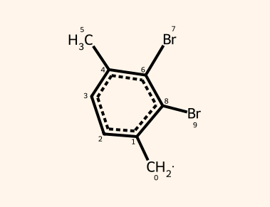 [CH2]c1ccc(C)c(Br)c1Br